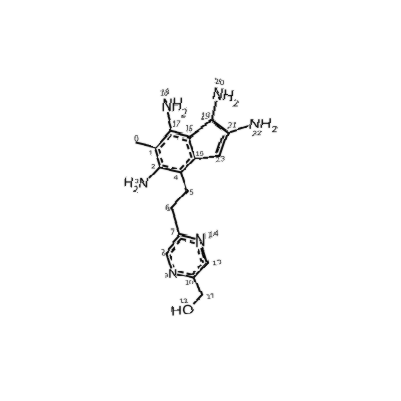 Cc1c(N)c(CCc2cnc(CO)cn2)c2c(c1N)C(N)C(N)=C2